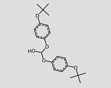 CC(C)(C)Oc1ccc(OC(O)Oc2ccc(OC(C)(C)C)cc2)cc1